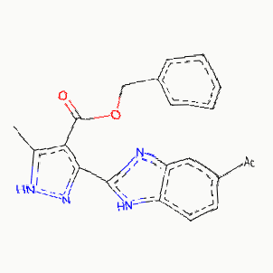 CC(=O)c1ccc2[nH]c(-c3n[nH]c(C)c3C(=O)OCc3ccccc3)nc2c1